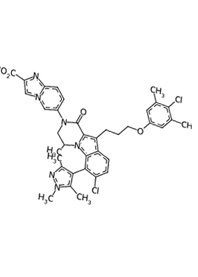 Cc1cc(OCCCc2c3n(c4c(-c5c(C)nn(C)c5C)c(Cl)ccc24)C(C)CN(c2ccc4nc(C(=O)O)cn4c2)C3=O)cc(C)c1Cl